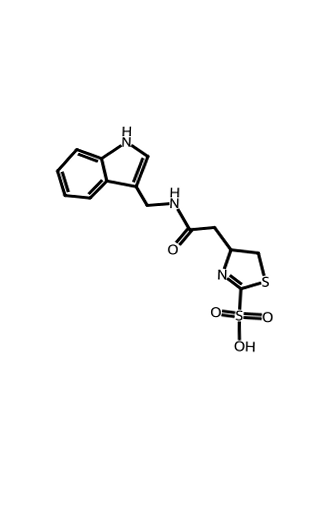 O=C(CC1CSC(S(=O)(=O)O)=N1)NCc1c[nH]c2ccccc12